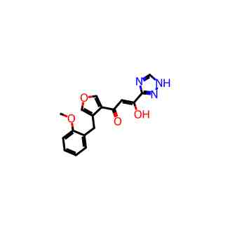 COc1ccccc1Cc1cocc1C(=O)C=C(O)c1nc[nH]n1